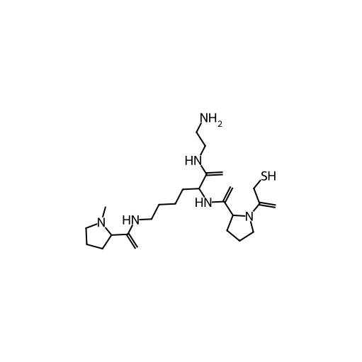 C=C(NCCN)C(CCCCNC(=C)C1CCCN1C)NC(=C)C1CCCN1C(=C)CS